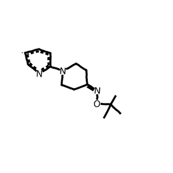 CC(C)(C)ON=C1CCN(c2cc[c]cn2)CC1